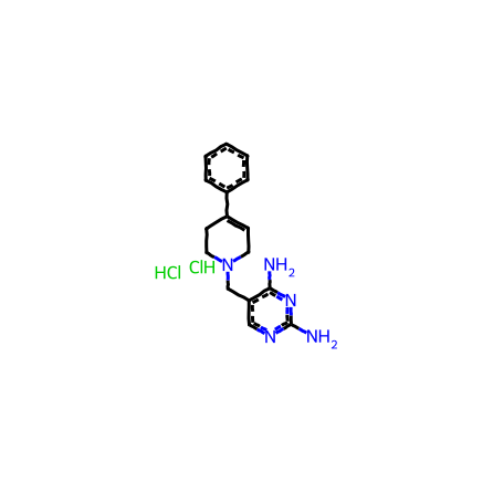 Cl.Cl.Nc1ncc(CN2CC=C(c3ccccc3)CC2)c(N)n1